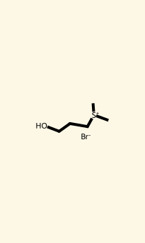 C[S+](C)CCCO.[Br-]